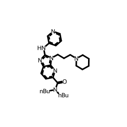 CCCCN(CCCC)C(=O)c1ccc2nc(Nc3cccnc3)n(CCCN3CCCCC3)c2n1